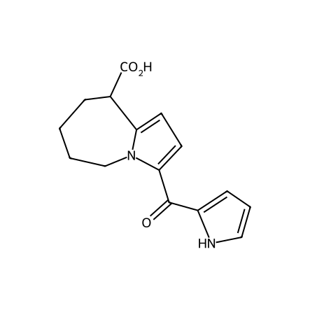 O=C(c1ccc[nH]1)c1ccc2n1CCCCC2C(=O)O